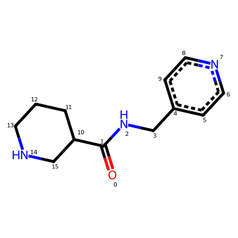 O=C(NCc1ccncc1)C1CCCNC1